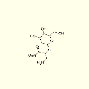 CNC(=O)C(CN)OC1CC(O)C(O)C(CO)O1